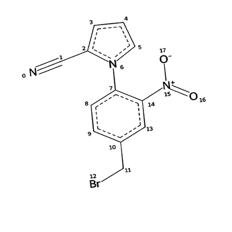 N#Cc1cccn1-c1ccc(CBr)cc1[N+](=O)[O-]